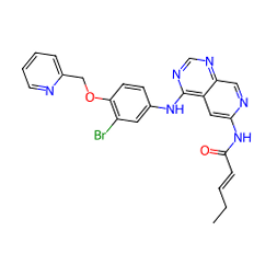 CC/C=C/C(=O)Nc1cc2c(Nc3ccc(OCc4ccccn4)c(Br)c3)ncnc2cn1